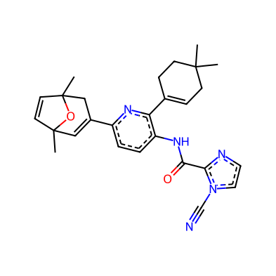 CC1(C)CC=C(c2nc(C3=CC4(C)C=CC(C)(C3)O4)ccc2NC(=O)c2nccn2C#N)CC1